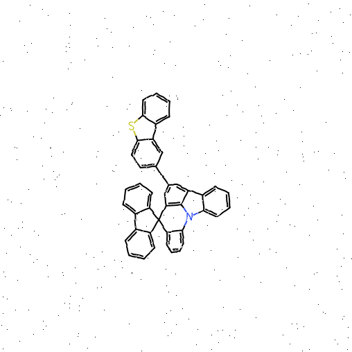 c1ccc2c(c1)-c1ccccc1C21c2ccccc2-n2c3ccccc3c3cc(-c4ccc5sc6ccccc6c5c4)cc1c32